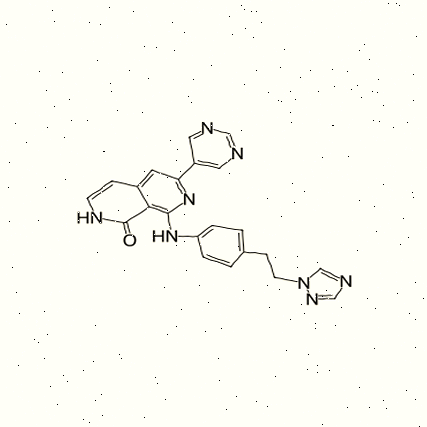 O=c1[nH]ccc2cc(-c3cncnc3)nc(Nc3ccc(CCn4cncn4)cc3)c12